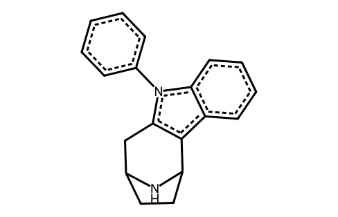 c1ccc(-n2c3c(c4ccccc42)C2CCC(C3)N2)cc1